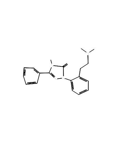 CN(C)CCc1ccccc1-n1nc(-c2ccccc2)n(C)c1=O